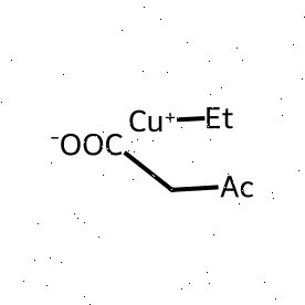 CC(=O)CC(=O)[O-].C[CH2][Cu+]